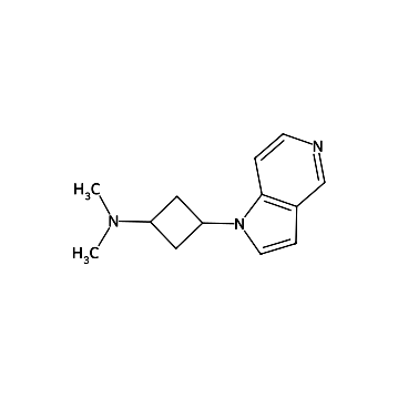 CN(C)C1CC(n2ccc3cnccc32)C1